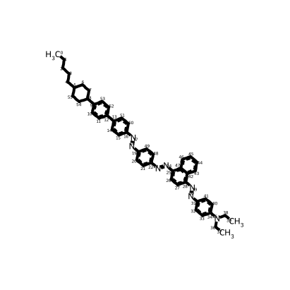 CCCCCC1CCC(c2ccc(-c3ccc(N=Nc4ccc(N=Nc5ccc(N=Nc6ccc(N(CC)CC)cc6)c6ccccc56)cc4)cc3)cc2)CC1